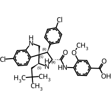 COc1cc(C(=O)O)ccc1NC(=O)[C@@H]1N[C@@H](CC(C)(C)C)[C@@]2(CNc3cc(Cl)ccc32)[C@H]1c1ccc(Cl)cc1